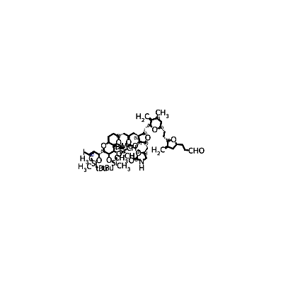 C=C1CC(CCC=O)O[C@H]1CC[C@H]1C[C@@H](C)C(=C)[C@@H](C[C@@H]2O[C@H](C[C@H]3CNC(=O)O3)[C@H](OC)[C@H]2CC(=O)C[C@H]2CCC3O[C@@H](C(/C=C/I)O[Si](C)(C)C(C)(C)C)C(O[Si](C)(C)C(C)(C)C)C(O[Si](C)(C)C(C)(C)C)[C@H]3O2)O1